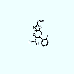 CCC(Cl)C(=O)N(Cc1nnc(SC)s1)c1ccccc1C